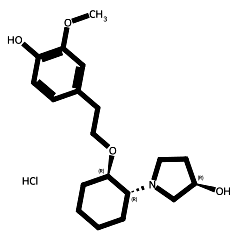 COc1cc(CCO[C@@H]2CCCC[C@H]2N2CC[C@@H](O)C2)ccc1O.Cl